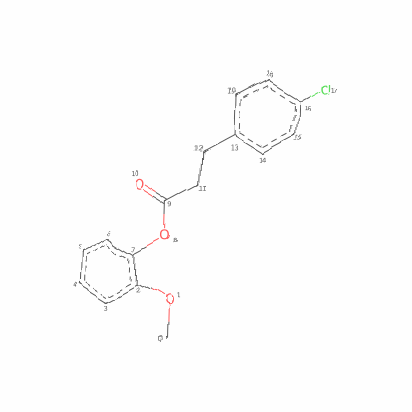 COc1ccccc1OC(=O)CCc1ccc(Cl)cc1